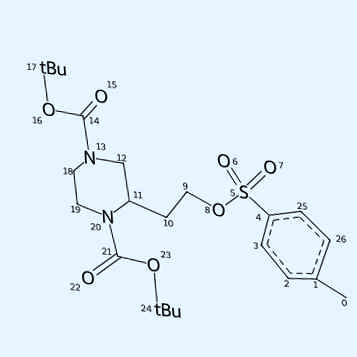 Cc1ccc(S(=O)(=O)OCCC2CN(C(=O)OC(C)(C)C)CCN2C(=O)OC(C)(C)C)cc1